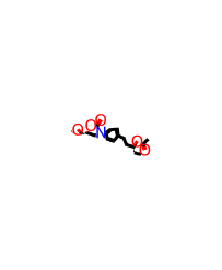 CC[C@H](CCc1ccc(N2C[C@H](COC)OC2=O)cc1)OC(C)=O